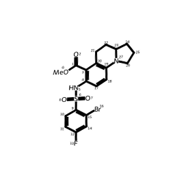 COC(=O)c1c(NS(=O)(=O)c2ccc(F)cc2Br)ccc2c1CCC1CCCN21